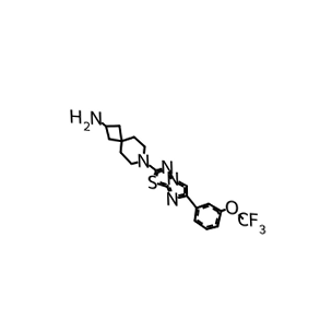 NC1CC2(CCN(c3nn4cc(-c5cccc(OC(F)(F)F)c5)nc4s3)CC2)C1